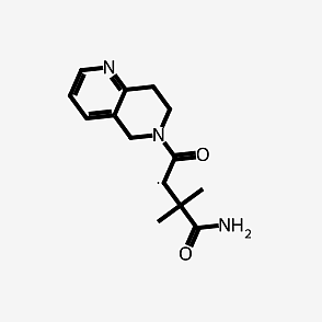 CC(C)([CH]C(=O)N1CCc2ncccc2C1)C(N)=O